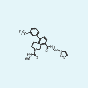 CC(C)(C)NC(=O)N1CCc2c(-c3cccc(OC(F)(F)F)c3)ccc(C(=O)NCCn3ccnn3)c2C1